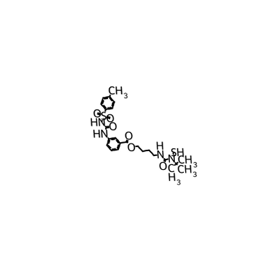 Cc1ccc(S(=O)(=O)NC(=O)Nc2cccc(C(=O)OCCCCNC(=O)N(S)C(C)(C)C)c2)cc1